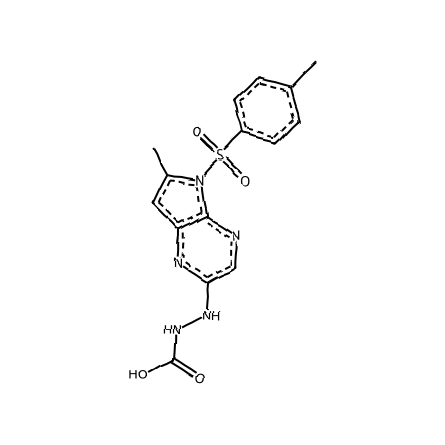 Cc1ccc(S(=O)(=O)n2c(C)cc3nc(NNC(=O)O)cnc32)cc1